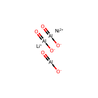 [Li+].[Ni+2].[O]=[Al][O-].[O]=[Al][O-].[O]=[Al][O-]